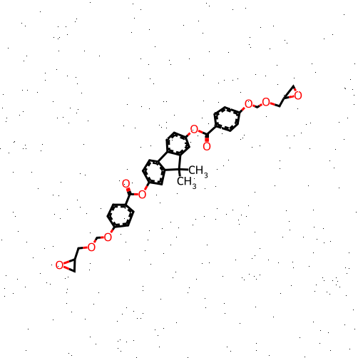 CC1(C)c2cc(OC(=O)c3ccc(OCOCC4CO4)cc3)ccc2-c2ccc(OC(=O)c3ccc(OCOCC4CO4)cc3)cc21